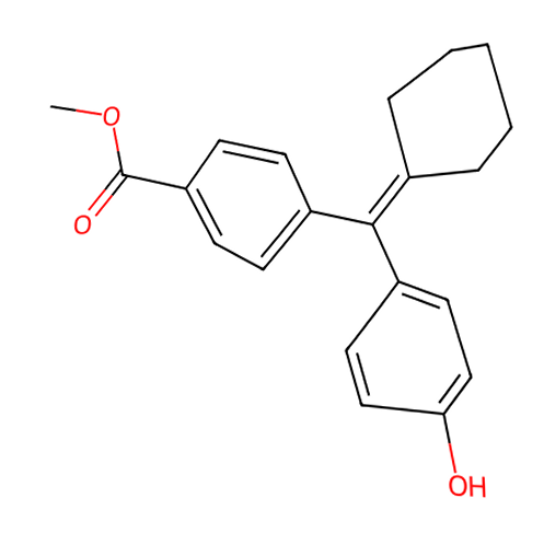 COC(=O)c1ccc(C(=C2CCCCC2)c2ccc(O)cc2)cc1